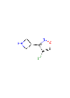 Brc1conc1C1CNC1